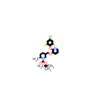 C[C@H]1CCC(COc2cccnc2Oc2c(F)cc(Cl)cc2F)CN1C(=O)OC(C)(C)C